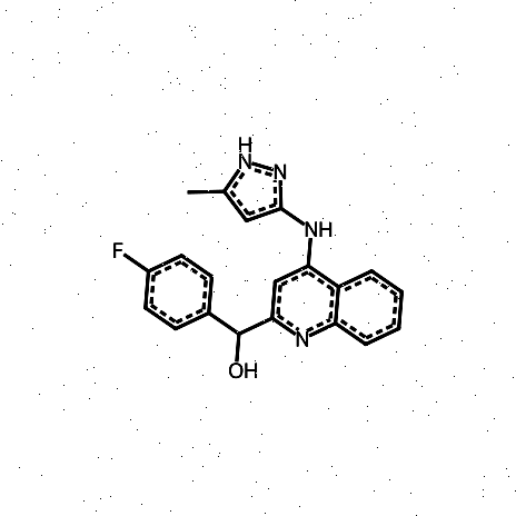 Cc1cc(Nc2cc(C(O)c3ccc(F)cc3)nc3ccccc23)n[nH]1